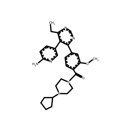 CCc1ncnc(-c2ccc(C(=O)N3CCN(C4CCCC4)CC3)c(OC)c2)c1-c1ccc(N)nc1